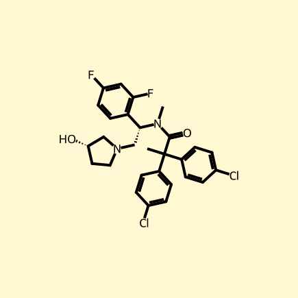 CN(C(=O)C(C)(c1ccc(Cl)cc1)c1ccc(Cl)cc1)[C@H](CN1CC[C@H](O)C1)c1ccc(F)cc1F